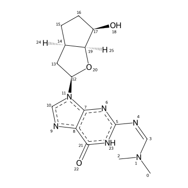 CN(C)/C=N\c1nc2c(ncn2[C@H]2C[C@H]3CC[C@@H](O)[C@H]3O2)c(=O)[nH]1